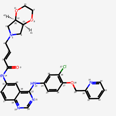 O=C(C=CCN1C[C@@H]2OCCO[C@@H]2C1)Nc1ccc2ncnc(Nc3ccc(OCc4ccccn4)c(Cl)c3)c2c1